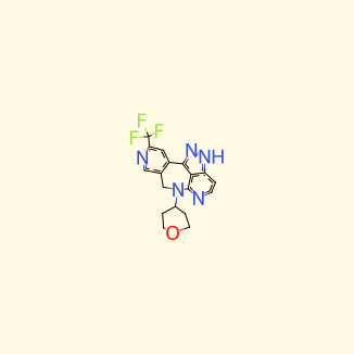 FC(F)(F)c1cc2c(cn1)CN(C1CCOCC1)c1nccc3[nH]nc-2c13